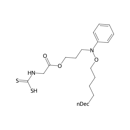 CCCCCCCCCCCCCCON(CCCOC(=O)CNC(=S)S)c1ccccc1